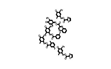 CC1=CC(=O)C(C(C)C)=CC1=NOC(=O)c1cc(F)ccc1C.CC1=CC(=O)C(C(C)C)=CC1=NOC(=O)c1cccc(F)c1.CC1=CC(=O)C(C(C)C)=CC1=NOC(=O)c1cnc2ccccc2n1.CC1=CC(=O)C(C(C)C)=CC1=NOC(=O)c1ncco1.CC1=CC(=O)C(C(C)C)=CC1=NOC(=O)c1nccs1